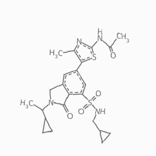 CC(=O)Nc1nc(C)c(-c2cc3c(c(S(=O)(=O)NCC4CC4)c2)C(=O)N(C(C)C2CC2)C3)s1